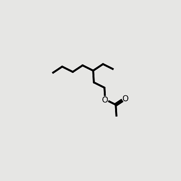 CCCCC(CC)CCOC(C)=O